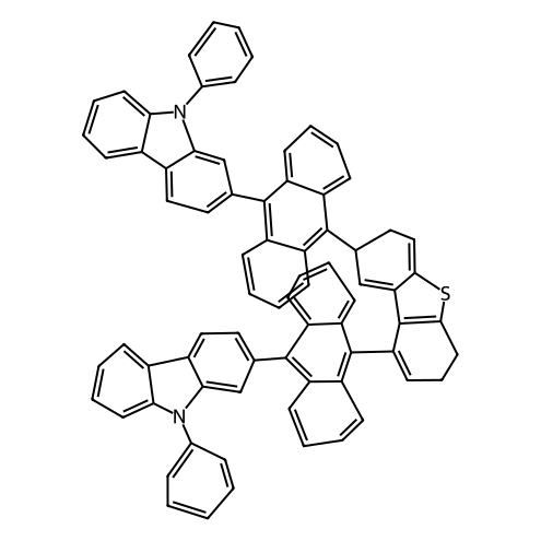 C1=C(c2c3ccccc3c(-c3ccc4c5ccccc5n(-c5ccccc5)c4c3)c3ccccc23)c2c(sc3c2=CC(c2c4ccccc4c(-c4ccc5c6ccccc6n(-c6ccccc6)c5c4)c4ccccc24)CC=3)CC1